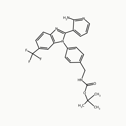 CC(C)(C)OC(=O)NCc1ccc(-n2c(-c3cccnc3N)nc3ccc(C(F)(F)F)cc32)cc1